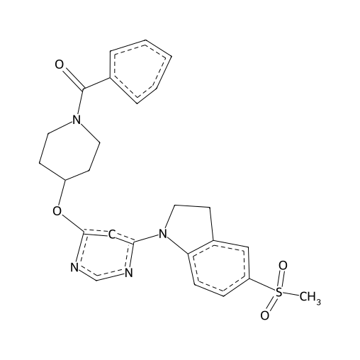 CS(=O)(=O)c1ccc2c(c1)CCN2c1cc(OC2CCN(C(=O)c3ccccc3)CC2)ncn1